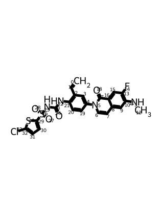 C=Cc1cc(-n2ccc3cc(NC)c(F)cc3c2=O)ccc1NC(=O)NS(=O)(=O)c1ccc(Cl)s1